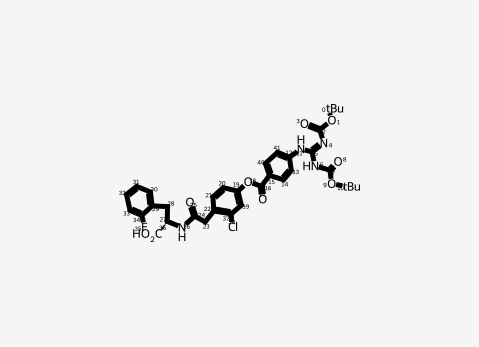 CC(C)(C)OC(=O)/N=C(/NC(=O)OC(C)(C)C)Nc1ccc(C(=O)Oc2ccc(CC(=O)N[C@@H](Cc3ccccc3F)C(=O)O)c(Cl)c2)cc1